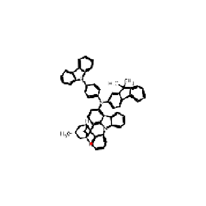 C[C@@H]1C[C@H]2CCC[C@@H](C1)C21c2ccccc2-n2c3ccccc3c3c(N(c4ccc(-n5c6ccccc6c6ccccc65)cc4)c4ccc5c(c4)C(C)(C)c4ccccc4-5)ccc1c32